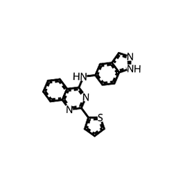 c1csc(-c2nc(Nc3ccc4[nH]ncc4c3)c3ccccc3n2)c1